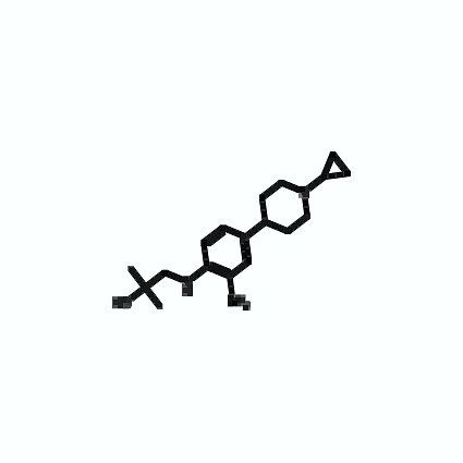 CC(C)(O)CNc1ccc(C2CCN(C3CC3)CC2)cc1N